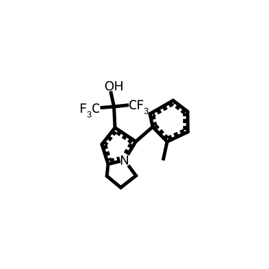 Cc1ccccc1-c1c(C(O)(C(F)(F)F)C(F)(F)F)cc2n1CCC2